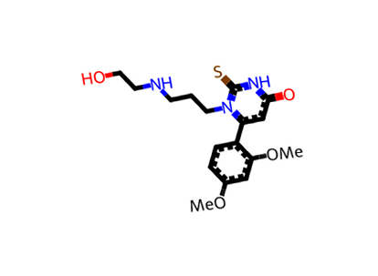 COc1ccc(-c2cc(=O)[nH]c(=S)n2CCCNCCO)c(OC)c1